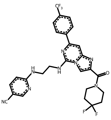 N#Cc1ccc(NCCNc2nc(-c3ccc(C(F)(F)F)cc3)cc3nc(C(=O)N4CCC(F)(F)CC4)cn23)nc1